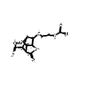 CCC(=O)OCCOC1C2CC3C1OC(=O)C3C2C(=O)OC